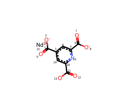 O=C([O-])c1cc(C(=O)[O-])nc(C(=O)[O-])c1.[Nd+3]